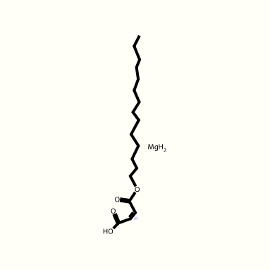 CCCCCCCCCCCCCCOC(=O)/C=C\C(=O)O.[MgH2]